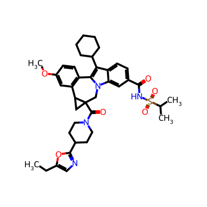 CCc1cnc(C2CCN(C(=O)C34CC3c3cc(OC)ccc3-c3c(C5CCCCC5)c5ccc(C(=O)NS(=O)(=O)C(C)C)cc5n3C4)CC2)o1